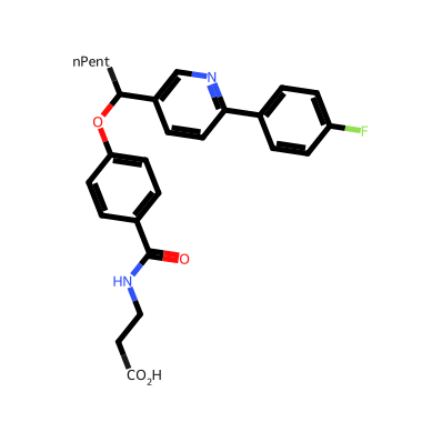 CCCCCC(Oc1ccc(C(=O)NCCC(=O)O)cc1)c1ccc(-c2ccc(F)cc2)nc1